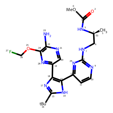 COC(=O)N[C@@H](C)CNc1nccc(-c2[nH]c(C(C)(C)C)nc2-c2cnc(N)c(OCF)n2)n1